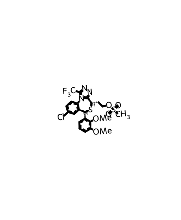 COc1cccc([C@@H]2S[C@@H](CCOS(C)(=O)=O)c3nnc(C(F)(F)F)n3-c3ccc(Cl)cc32)c1OC